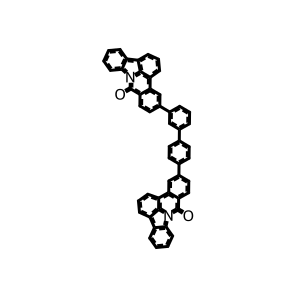 O=c1c2ccc(-c3ccc(-c4cccc(-c5ccc6c(=O)n7c8ccccc8c8cccc(c6c5)c87)c4)cc3)cc2c2cccc3c4ccccc4n1c23